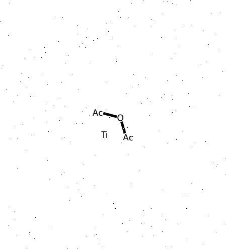 CC(=O)OC(C)=O.[Ti]